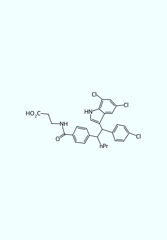 CCCC(c1ccc(C(=O)NCCC(=O)O)cc1)C(c1ccc(Cl)cc1)c1c[nH]c2c(Cl)cc(Cl)cc12